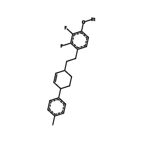 CCOc1ccc(CCC2C=CC(c3ccc(C)cc3)CC2)c(F)c1F